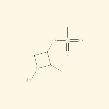 CC(C)N1CC(OS(C)(=O)=O)C1C